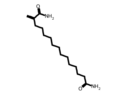 C=C(CCCCCCCCCCCCC(N)=O)C(N)=O